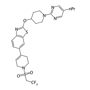 CCCc1cnc(N2CCC(Oc3nc4ccc(C5=CCN(S(=O)(=O)CC(F)(F)F)CC5)cc4s3)CC2)nc1